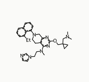 CCc1cccc2cccc(N3CCc4c(nc(OCC5(CN(C)C)CC5)nc4N(C)CCn4ccnc4)C3)c12